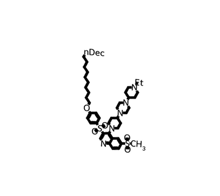 CCCCCCCCCCCCCCCCCCCCOc1ccc(S(=O)(=O)c2cnc3ccc(S(C)(=O)=O)cc3c2N2CCC(N3CCN(C4CCN(CC)CC4)CC3)CC2)cc1